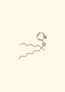 CCCCCCCC(C)(CCCCCC)Oc1ccccn1